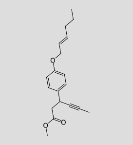 CC#CC(CC(=O)OC)c1ccc(OC/C=C/CCC)cc1